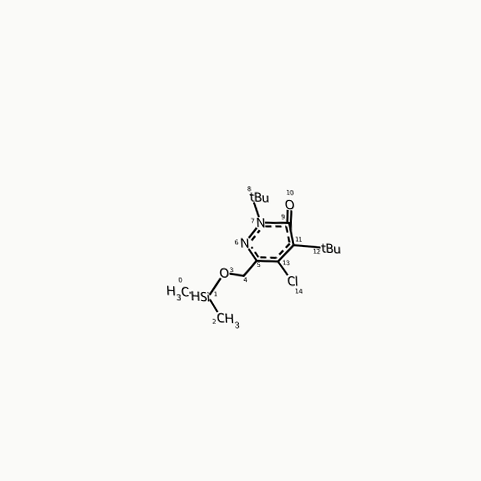 C[SiH](C)OCc1nn(C(C)(C)C)c(=O)c(C(C)(C)C)c1Cl